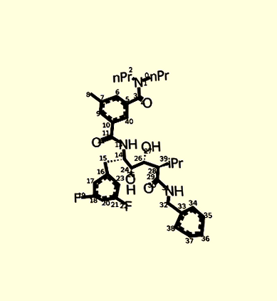 CCCN(CCC)C(=O)c1cc(C)cc(C(=O)N[C@@H](Cc2cc(F)cc(F)c2)[C@@H](O)[C@H](O)[C@H](C(=O)NCc2ccccc2)C(C)C)c1